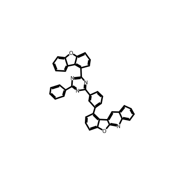 c1ccc(-c2nc(-c3cccc(-c4cccc5oc6nc7ccccc7cc6c45)c3)nc(-c3cccc4oc5ccccc5c34)n2)cc1